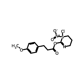 COc1ccc(CCC(=O)OC2=NCCCS2(Cl)[N+](=O)[O-])cc1